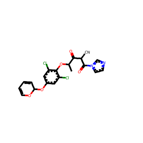 CC(Oc1c(Cl)cc(OC2C=CC=CO2)cc1Cl)C(=O)C(C#N)C(=O)n1ccnc1